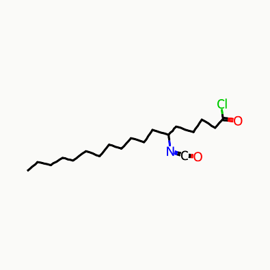 CCCCCCCCCCCCC(CCCCC(=O)Cl)N=C=O